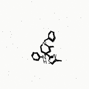 Cc1csc(C2(Nc3ccccc3)CCN(Cc3ccccc3)C(C)C2)n1